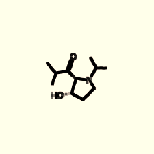 CC(C)C(=O)[C@@H]1[C@@H](O)CCN1C(C)C